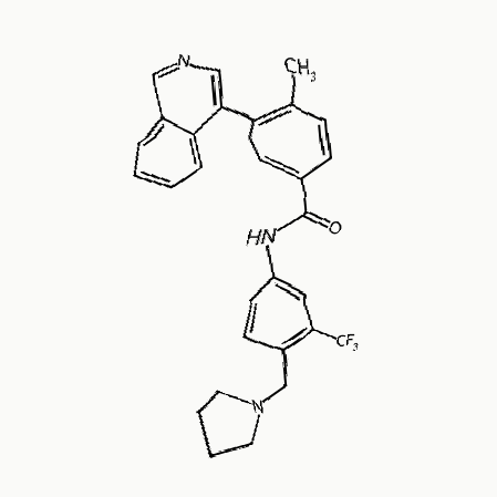 Cc1ccc(C(=O)Nc2ccc(CN3CCCC3)c(C(F)(F)F)c2)cc1-c1cncc2ccccc12